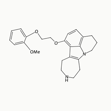 COc1ccccc1OCCOc1ccc2c3c1c1c(n3CCC2)CCNCC1